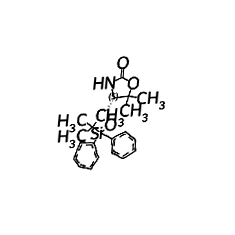 CC1(C)OC(=O)N[C@H]1CO[Si](c1ccccc1)(c1ccccc1)C(C)(C)C